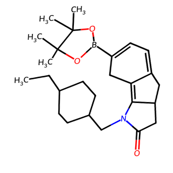 CCC1CCC(CN2C(=O)CC3CC4=CC=C(B5OC(C)(C)C(C)(C)O5)CC4=C32)CC1